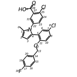 Cc1ccc(-c2cc(Cl)ccc2OCc2ccc(F)cc2)n1-c1ccc(Cl)c(C(=O)O)c1